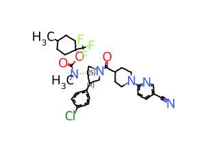 CC1CCC(OC(=O)N(C)[C@@H]2CN(C(=O)C3CCN(c4ccc(C#N)cn4)CC3)C[C@H]2c2ccc(Cl)cc2)(C(F)(F)F)CC1